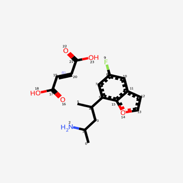 CC(N)CC(C)c1cc(F)cc2ccoc12.O=C(O)/C=C/C(=O)O